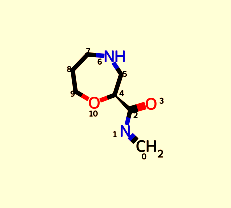 C=NC(=O)[C@@H]1CNCCCO1